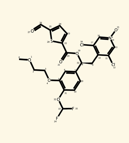 COCCOc1cc([C@H](Cc2c(Cl)c[n+]([O-])cc2Cl)OC(=O)c2ccc(C=O)s2)ccc1OC(F)F